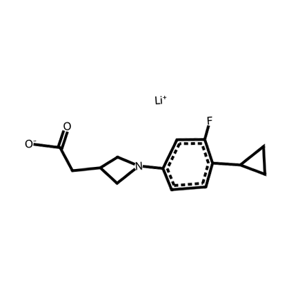 O=C([O-])CC1CN(c2ccc(C3CC3)c(F)c2)C1.[Li+]